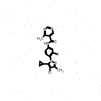 Cc1ncncc1C(=O)Nc1ccc(-n2nc(C)c(Cl)c2C2CC2)c(F)c1